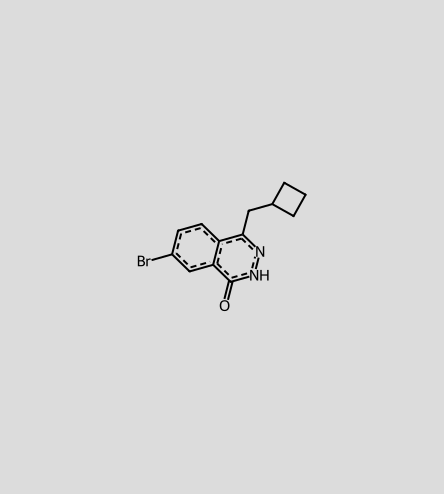 O=c1[nH]nc(CC2CCC2)c2ccc(Br)cc12